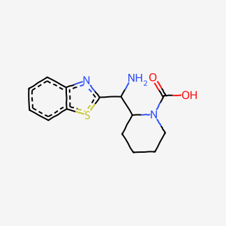 NC(c1nc2ccccc2s1)C1CCCCN1C(=O)O